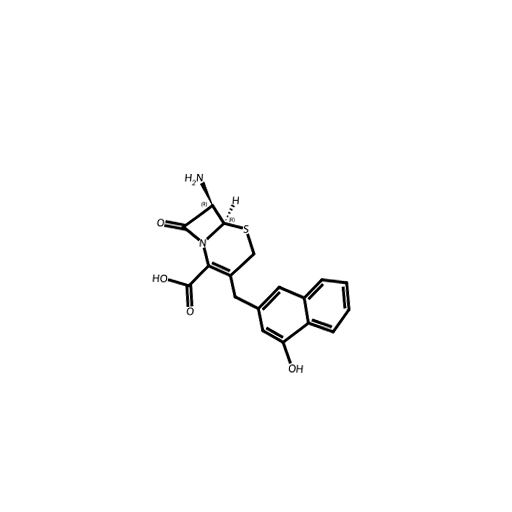 N[C@@H]1C(=O)N2C(C(=O)O)=C(Cc3cc(O)c4ccccc4c3)CS[C@H]12